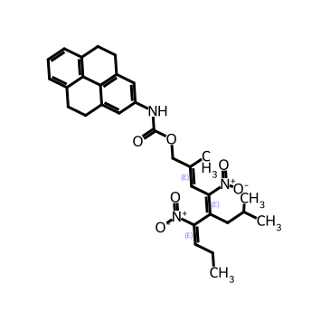 CC\C=C(/C(CC(C)C)=C(\C=C(/C)COC(=O)Nc1cc2c3c(c1)CCc1cccc(c1-3)CC2)[N+](=O)[O-])[N+](=O)[O-]